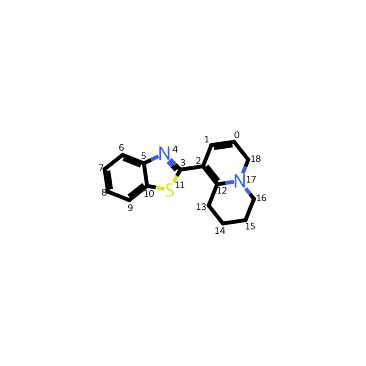 C1=CC(c2nc3ccccc3s2)=C2CCCCN2C1